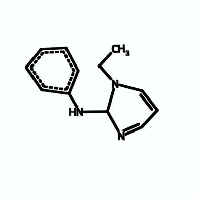 CCN1C=CC=NC1Nc1ccccc1